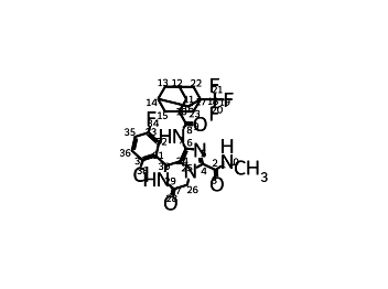 CNC(=O)c1nc(NC(=O)C23CC4CC(C2)CC(C(F)(F)F)(C4)C3)c2n1CC(=O)NC2c1cc(F)ccc1Cl